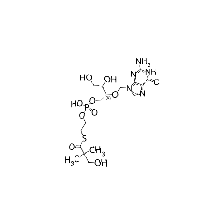 CC(C)(CO)C(=O)SCCOP(=O)(O)OC[C@@H](OCn1cnc2c(=O)[nH]c(N)nc21)C(O)CO